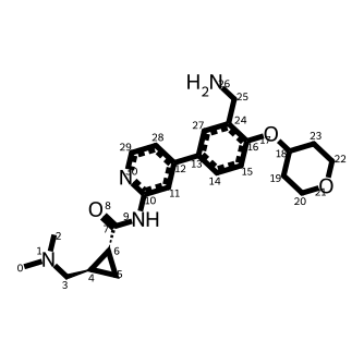 CN(C)C[C@@H]1C[C@H]1C(=O)Nc1cc(-c2ccc(OC3CCOCC3)c(CN)c2)ccn1